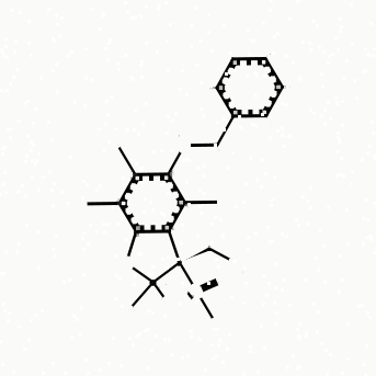 Cc1c(C)c2c(c(C)c1OCc1ccccc1)[C@](CO)(S(C)(=O)=O)C(C)(C)O2